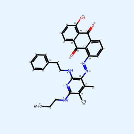 COCCNc1nc(NCCc2ccccc2)c(/N=N/c2cccc3c2C(=O)c2cccc(O)c2C3=O)c(C)c1C#N